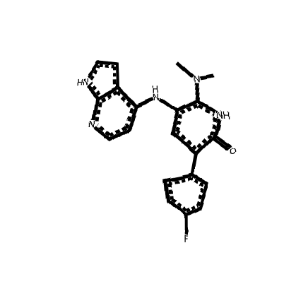 CN(C)c1[nH]c(=O)c(-c2ccc(F)cc2)cc1Nc1ccnc2[nH]ccc12